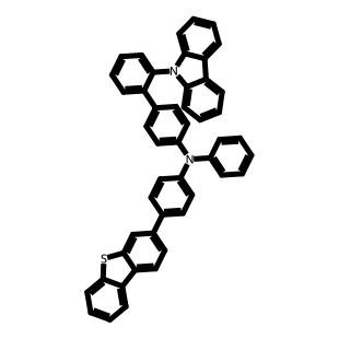 c1ccc(N(c2ccc(-c3ccc4c(c3)sc3ccccc34)cc2)c2ccc(-c3ccccc3-n3c4ccccc4c4ccccc43)cc2)cc1